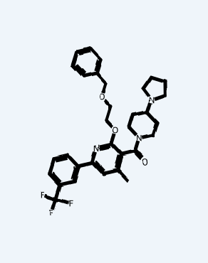 Cc1cc(-c2cccc(C(F)(F)F)c2)nc(OCCOCc2ccccc2)c1C(=O)N1CCC(N2CCCC2)CC1